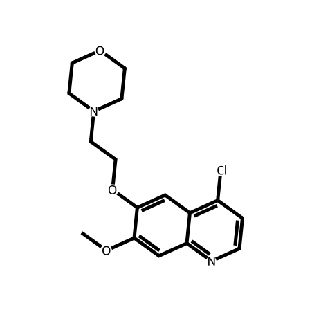 COc1cc2nccc(Cl)c2cc1OCCN1CCOCC1